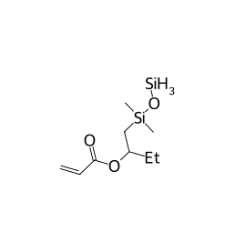 C=CC(=O)OC(CC)C[Si](C)(C)O[SiH3]